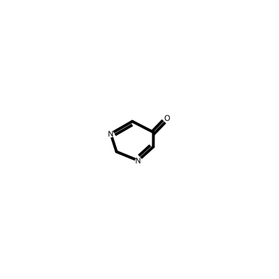 O=C1C=NCN=C1